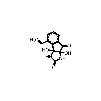 C=Cc1cccc2c1C1(O)NC(=O)NC1(O)C2=O